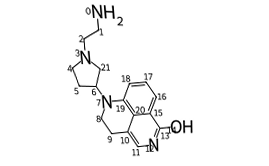 NCCN1CCC(N2CCc3cnc(O)c4cccc2c34)C1